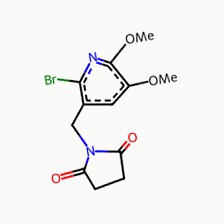 COc1cc(CN2C(=O)CCC2=O)c(Br)nc1OC